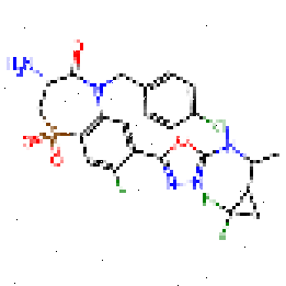 CC(Nc1nnc(-c2cc3c(cc2F)S(=O)(=O)C[C@H](N)C(=O)N3Cc2ccc(Cl)cc2)o1)C1CC1(F)F